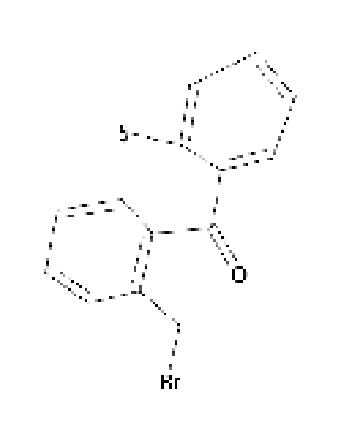 O=c1c2ccccc2sc2cccc(CBr)c12